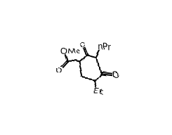 CCCC1C(=O)C(CC)CC(C(=O)OC)C1=O